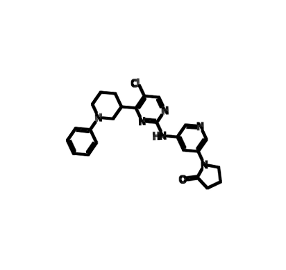 O=C1CCCN1c1cncc(Nc2ncc(Cl)c(C3CCCN(c4ccccc4)C3)n2)c1